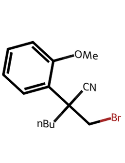 CCCCC(C#N)(CBr)c1ccccc1OC